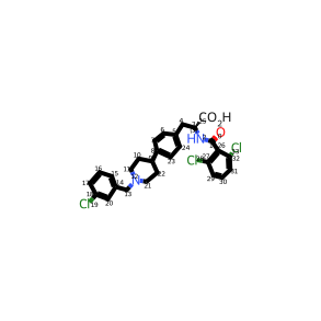 O=C(N[C@@H](Cc1ccc(C2CCN(Cc3cccc(Cl)c3)CC2)cc1)C(=O)O)c1c(Cl)cccc1Cl